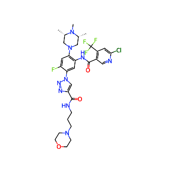 C[C@@H]1CN(c2cc(F)c(-n3cc(C(=O)NCCCN4CCOCC4)nn3)cc2NC(=O)c2cnc(Cl)cc2C(F)(F)F)C[C@H](C)N1C